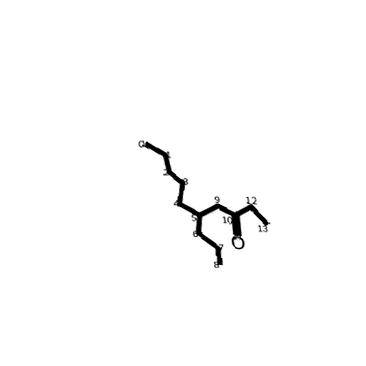 CCCCCC(CCC)CC(=O)CC